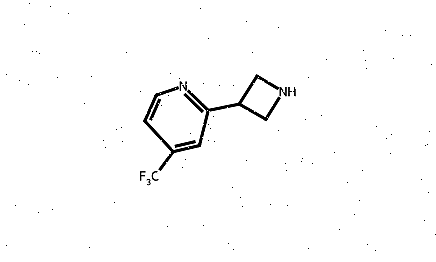 FC(F)(F)c1ccnc(C2CNC2)c1